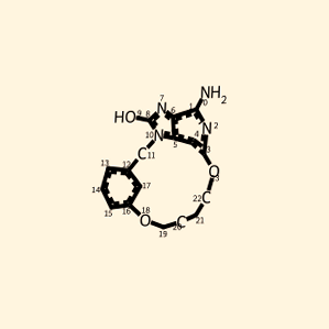 Nc1nc2cc3c1nc(O)n3Cc1cccc(c1)OCCCCO2